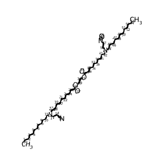 CCCCCCCCCCCCN(CCC#N)CCCCCCCCCC(=O)OCCOC(=O)CCCCCCCCCN(CCCCCCCCCCCC)CCN=O